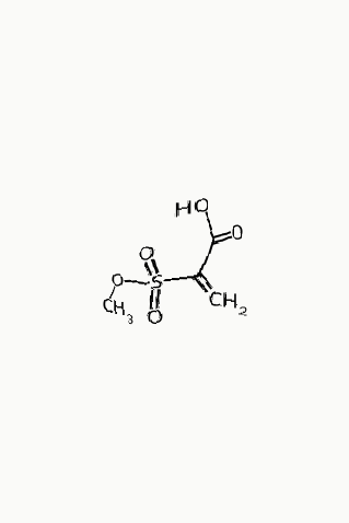 C=C(C(=O)O)S(=O)(=O)OC